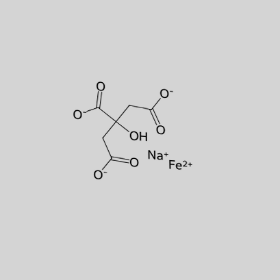 O=C([O-])CC(O)(CC(=O)[O-])C(=O)[O-].[Fe+2].[Na+]